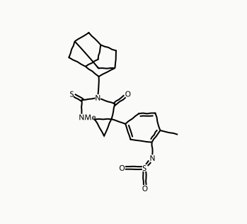 CNC(=S)N(C(=O)C1(c2ccc(C)c(N=S(=O)=O)c2)CC1)C1C2CC3CC(C2)CC1C3